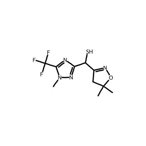 Cn1nc(C(S)C2=NOC(C)(C)C2)nc1C(F)(F)F